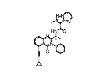 Cc1nn2cccnc2c1C(=O)N[C@@H](C)c1nc2cccc(C#CC3CC3)c2c(=O)n1-c1ccccc1